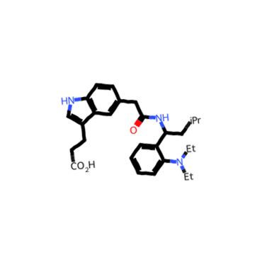 CCN(CC)c1ccccc1C(CC(C)C)NC(=O)Cc1ccc2[nH]cc(CCC(=O)O)c2c1